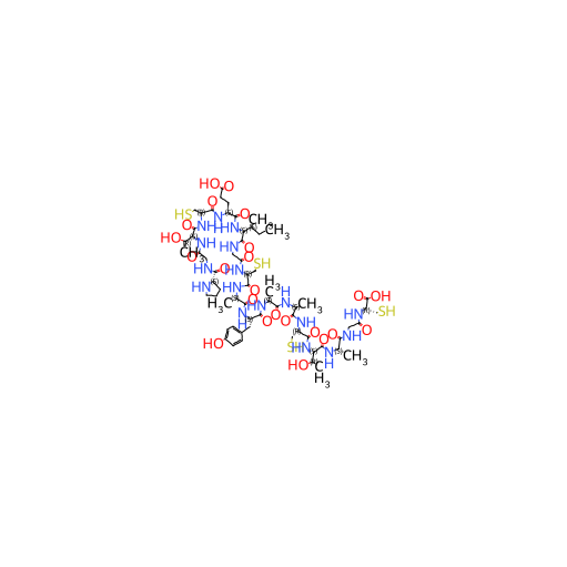 CC[C@H](C)[C@H](NC(=O)[C@H](CCC(=O)O)NC(=O)[C@H](CS)NC(=O)[C@@H](NC(=O)CNC(=O)[C@@H]1CCCN1)[C@@H](C)O)C(=O)NCC(=O)N[C@@H](CS)C(=O)N[C@@H](C)C(=O)N[C@@H](Cc1ccc(O)cc1)C(=O)N[C@@H](C)C(=O)N[C@@H](C)C(=O)N[C@@H](CS)C(=O)N[C@H](C(=O)N[C@@H](C)C(=O)NCC(=O)N[C@@H](CS)C(=O)O)[C@@H](C)O